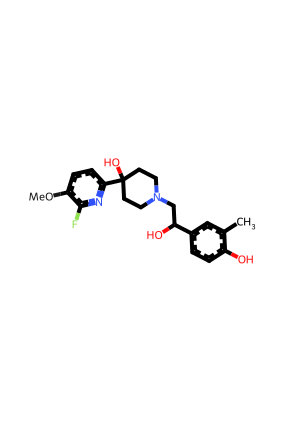 COc1ccc(C2(O)CCN(CC(O)c3ccc(O)c(C)c3)CC2)nc1F